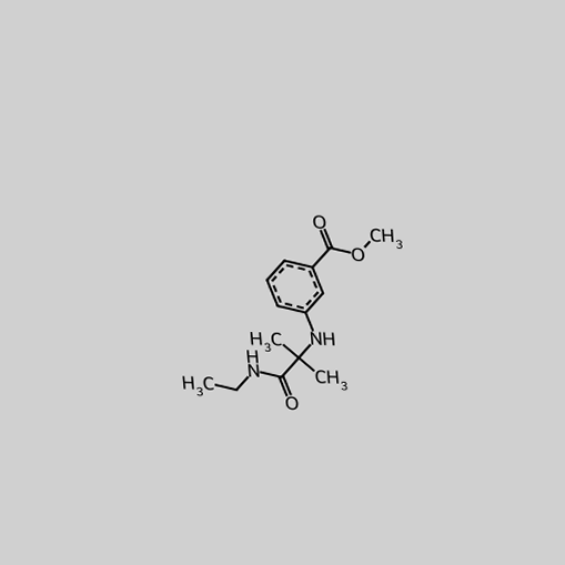 CCNC(=O)C(C)(C)Nc1cccc(C(=O)OC)c1